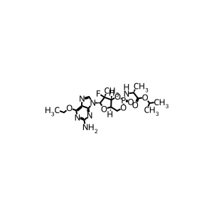 CCOc1nc(N)nc2c1ncn2[C@@H]1O[C@@H]2COP(=O)(N[C@@H](C)C(=O)OC(C)C)O[C@H]2[C@@]1(C)F